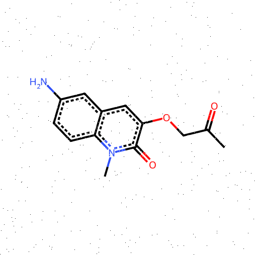 CC(=O)COc1cc2cc(N)ccc2n(C)c1=O